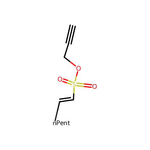 C#CCOS(=O)(=O)/C=C/CCCCC